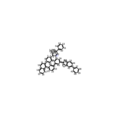 N=C(/C=C\C(=N)c1ccc(-c2ccc3ccccc3c2-c2cccc(-c3cccc(-c4nc5ccc(-c6ccccc6)cc5o4)c3)c2)cc1)c1ccccc1